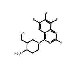 N#CCC1CN(c2nc(Cl)nc3c(F)c(Br)c(F)cc23)CCN1C(=O)O